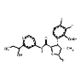 COc1c([C@@H]2[C@H](C)[C@@H](C)O[C@H]2C(=O)Nc2ccnc(C(O)CO)c2)ccc(F)c1F